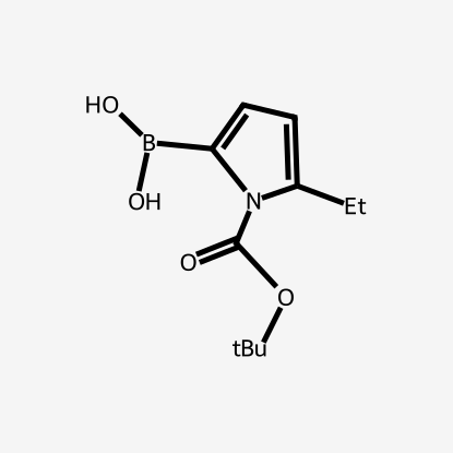 CCc1ccc(B(O)O)n1C(=O)OC(C)(C)C